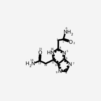 NC(=O)Cc1nc2ncnc-2c(CC(N)=O)[nH]1